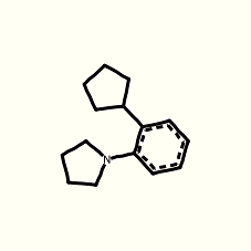 c1ccc(N2CCCC2)c(C2CCCC2)c1